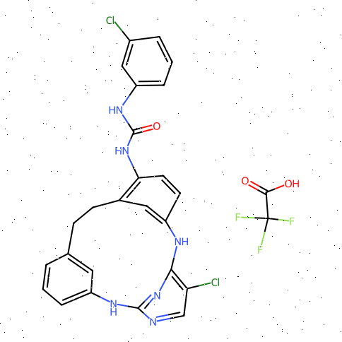 O=C(Nc1cccc(Cl)c1)Nc1ccc2cc1CCc1cccc(c1)Nc1ncc(Cl)c(n1)N2.O=C(O)C(F)(F)F